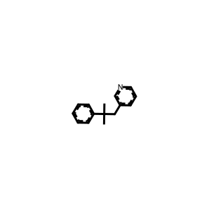 CC(C)(Cc1cccnc1)c1ccccc1